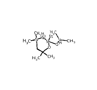 CC[Si]1(O[SiH](C)C)OC(C)(C)C[Si](C)(C)[SiH2]1